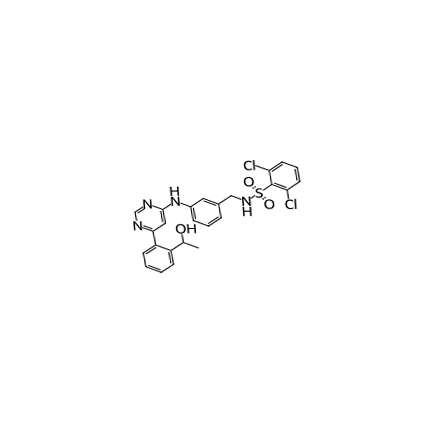 CC(O)c1ccccc1-c1cc(Nc2cccc(CNS(=O)(=O)c3c(Cl)cccc3Cl)c2)ncn1